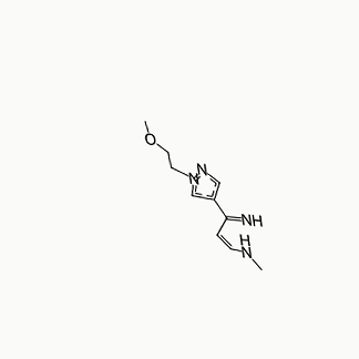 CN/C=C\C(=N)c1cnn(CCOC)c1